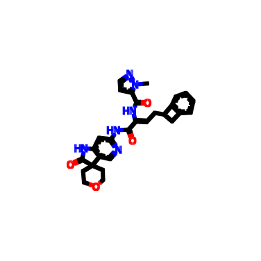 Cn1nccc1C(=O)NC(=CCC1Cc2ccccc21)C(=O)Nc1cc2c(cn1)C1(CCOCC1)C(=O)N2